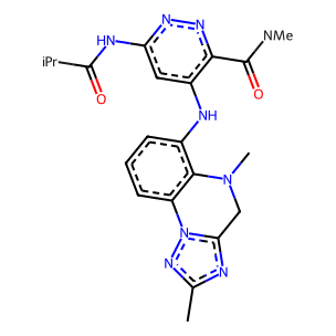 CNC(=O)c1nnc(NC(=O)C(C)C)cc1Nc1cccc2c1N(C)Cc1nc(C)nn1-2